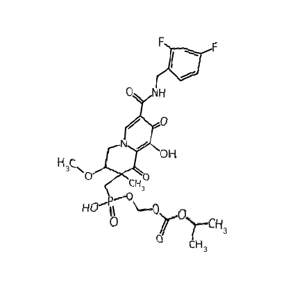 COC1Cn2cc(C(=O)NCc3ccc(F)cc3F)c(=O)c(O)c2C(=O)C1(C)CP(=O)(O)OCOC(=O)OC(C)C